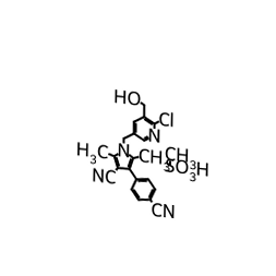 CS(=O)(=O)O.Cc1c(C#N)c(-c2ccc(C#N)cc2)c(C)n1Cc1cnc(Cl)c(CO)c1